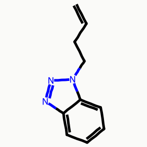 C=CCCn1nnc2ccccc21